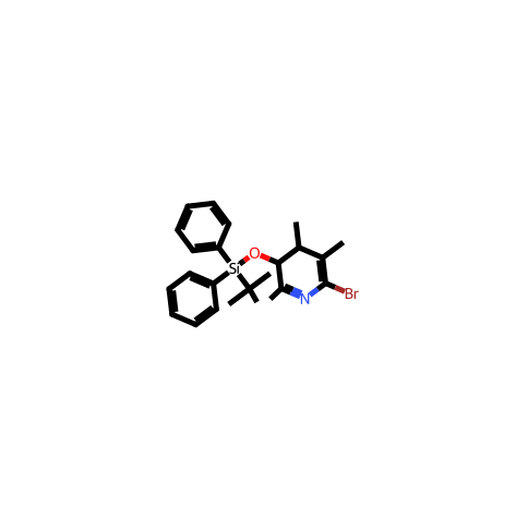 CC1=NC(Br)=C(C)C(C)C1O[Si](c1ccccc1)(c1ccccc1)C(C)(C)C